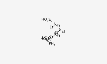 C#CP.CCP(C)CC.CCP(C)CC.CCP(C)CC.CS(=O)(=O)O.CS(=O)(=O)O.CS(=O)(=O)O